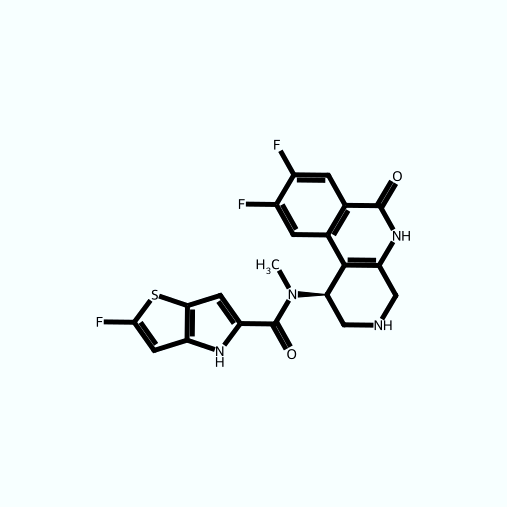 CN(C(=O)c1cc2sc(F)cc2[nH]1)[C@@H]1CNCc2[nH]c(=O)c3cc(F)c(F)cc3c21